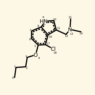 CCCCOc1ccc2[nH]cc(CN(C)C)c2c1Cl